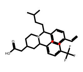 C=Cc1ccc(C(CCC(C)C)N2CCC(CC(=O)O)CC2c2ccc(C(F)(F)F)cc2)cc1